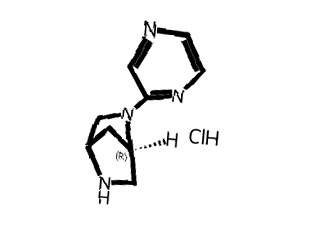 Cl.c1cnc(N2CC3C[C@@H]2CN3)cn1